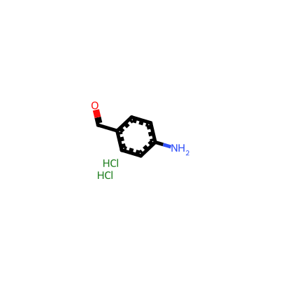 Cl.Cl.Nc1ccc(C=O)cc1